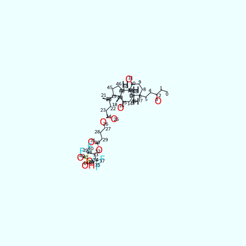 CCC(=O)CCC1(C)CCC(=O)[C@@H]2[C@@H]1CC(=O)[C@]1(C)C([C@H](C)CCC(=O)OCCCC(=O)OC(C(F)(F)F)C(F)(F)S(=O)(=O)O)CC[C@@H]21